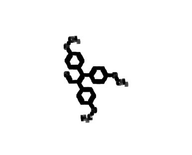 COc1ccc(C(C=O)=C(c2ccc(OC)cc2)c2ccc(OC)cc2)cc1